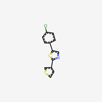 Clc1ccc(-c2cnc(-c3ccsc3)s2)cc1